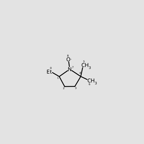 CCC1CCC(C)(C)N1[O]